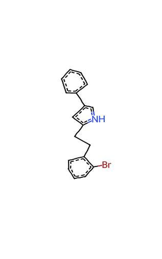 Brc1ccccc1CCc1cc(-c2ccccc2)c[nH]1